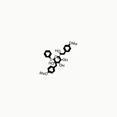 COc1ccc(CC(O)[C@H]2O[C@@H](Sc3ccccc3)[C@@](O)(Cc3ccc(OC)cc3)[C@@H](O)[C@H]2O)cc1